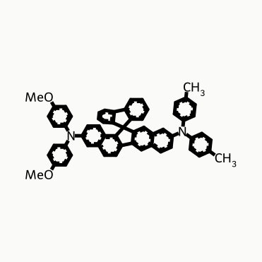 COc1ccc(N(c2ccc(OC)cc2)c2ccc3c4c(ccc3c2)-c2cc3ccc(N(c5ccc(C)cc5)c5ccc(C)cc5)cc3cc2C42c3ccccc3-c3ccccc32)cc1